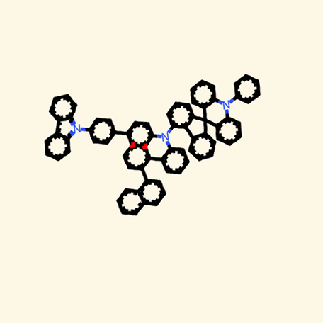 c1ccc(N2c3ccccc3C3(c4ccccc4-c4c(N(c5ccc(-c6ccc(-n7c8ccccc8c8ccccc87)cc6)cc5)c5ccccc5-c5ccccc5-c5cccc6ccccc56)cccc43)c3ccccc32)cc1